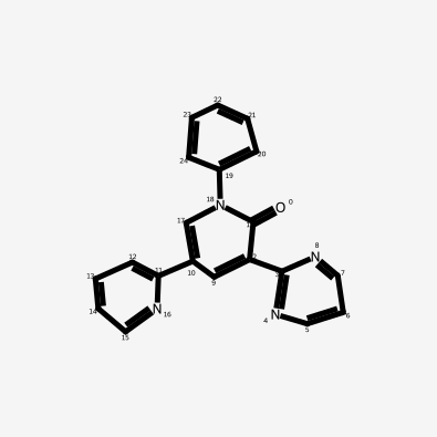 O=c1c(-c2ncccn2)cc(-c2ccccn2)cn1-c1ccccc1